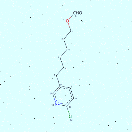 O=COCCCCCCc1ccc(Cl)nc1